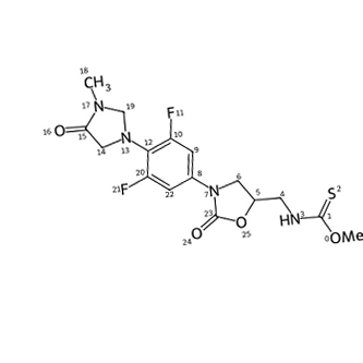 COC(=S)NCC1CN(c2cc(F)c(N3CC(=O)N(C)C3)c(F)c2)C(=O)O1